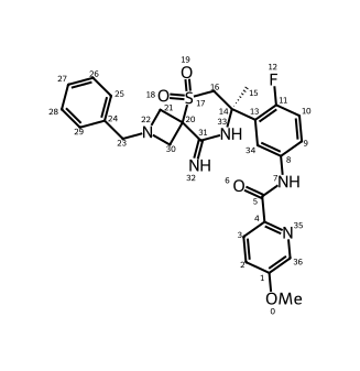 COc1ccc(C(=O)Nc2ccc(F)c([C@]3(C)CS(=O)(=O)C4(CN(Cc5ccccc5)C4)C(=N)N3)c2)nc1